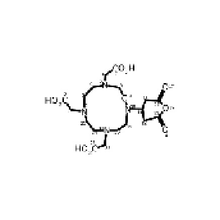 O=C(O)CN1CCN(CC(=O)O)CCN(C2CC(=O)OC(=O)C2)CCN(CC(=O)O)CC1